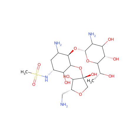 C[C@@H](O)C1O[C@H](O[C@@H]2C(N)C[C@@H](NS(C)(=O)=O)C(O)C2O[C@]2(O)CO[C@H](CN)C2O)C(N)C(O)[C@@H]1O